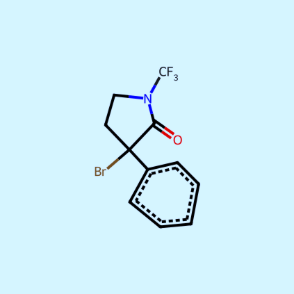 O=C1N(C(F)(F)F)CCC1(Br)c1ccccc1